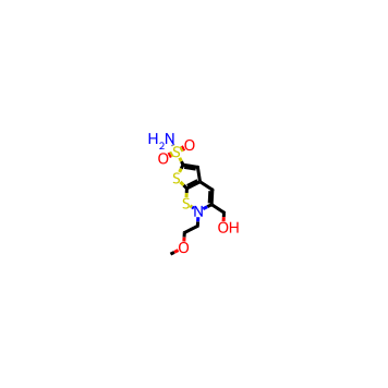 COCCN1Sc2sc(S(N)(=O)=O)cc2C=C1CO